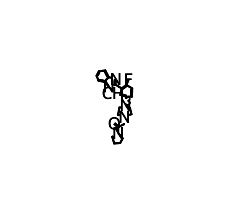 Cn1c(-c2cc(N3CCN(CC(=O)N4CCCC4)CC3)ccc2F)nc2ccccc21